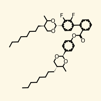 CCCCCCCC[C@@H]1CO[C@@H](c2ccc(OC(=O)c3ccccc3-c3ccc([C@@H]4OC[C@@H](CCCCCCCC)C(C)O4)c(F)c3F)cc2)OC1C